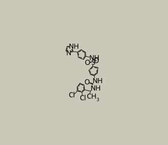 CC(NC(=O)Nc1ccc(S(=O)(=O)Nc2ccc(-c3ncc[nH]3)cc2)cc1)c1cccc(Cl)c1Cl